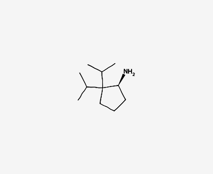 CC(C)C1(C(C)C)CCC[C@@H]1N